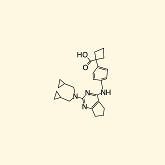 O=C(O)C1(c2ccc(Nc3nc(N(CC4CC4)CC4CC4)nc4c3CCC4)cc2)CCC1